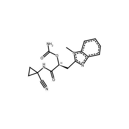 Cn1c(C[C@H](OC(N)=O)C(=O)NC2(C#N)CC2)nc2ccccc21